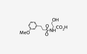 COc1cccc(CCS(=O)(=O)N[C@H](CO)C(=O)O)c1